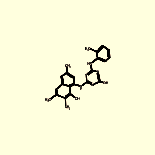 Cc1cc(Nc2nc(O)nc(Nc3ccccc3C)n2)c2c(O)c(N)c(C)cc2c1